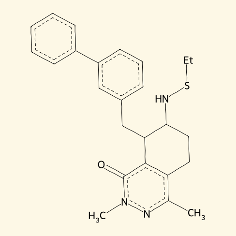 CCSNC1CCc2c(C)nn(C)c(=O)c2C1Cc1cccc(-c2ccccc2)c1